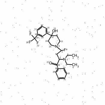 CCN(CC)C(CC(F)N1CCC(O)(c2cccc(C(F)(F)F)c2)CC1)C(=O)c1ccccc1